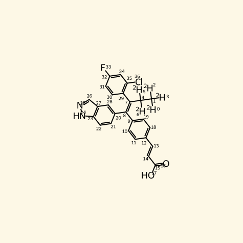 [2H]C([2H])([2H])C([2H])([2H])C(=C(c1ccc(C=CC(=O)O)cc1)c1ccc2[nH]ncc2c1)c1ccc(F)cc1Cl